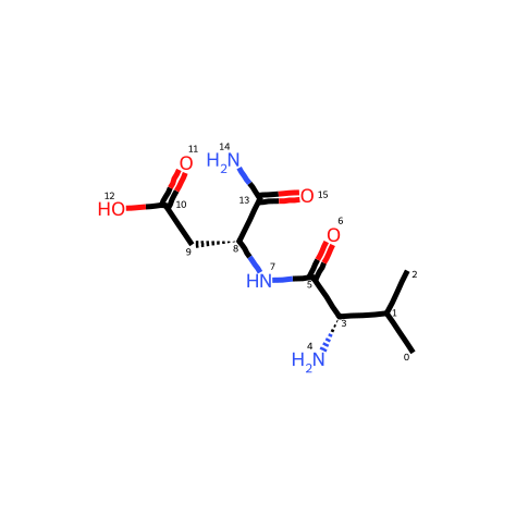 CC(C)[C@H](N)C(=O)N[C@H](CC(=O)O)C(N)=O